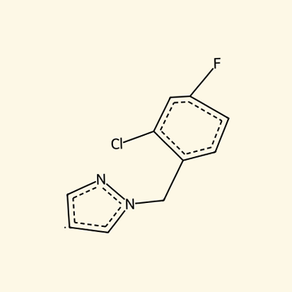 Fc1ccc(Cn2c[c]cn2)c(Cl)c1